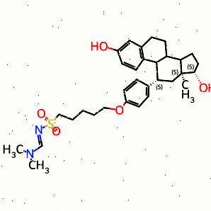 CN(C)C=NS(=O)(=O)CCCCCOc1ccc([C@H]2C[C@@]3(C)C(CC[C@@H]3O)C3CCc4cc(O)ccc4C32)cc1